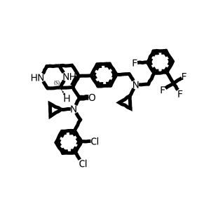 O=C(C1=C(c2ccc(CN(Cc3c(F)cccc3C(F)(F)F)C3CC3)cc2)CC2CNC[C@H]1N2)N(Cc1cccc(Cl)c1Cl)C1CC1